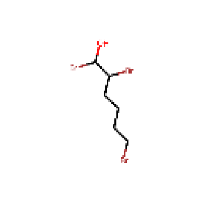 OC(Br)C(Br)CCCCBr